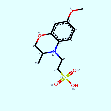 COc1ccc2c(c1)OCC(C)N2CCS(=O)(=O)O